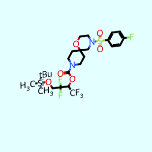 CC(C)(C)[Si](C)(C)OCC(F)(F)C(OC(=O)N1CCC2(CC1)CN(S(=O)(=O)c1ccc(F)cc1)CCO2)C(F)(F)F